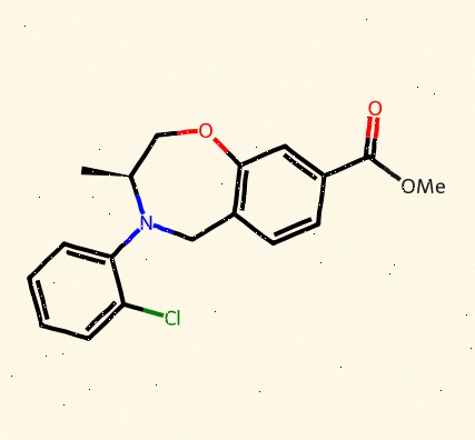 COC(=O)c1ccc2c(c1)OC[C@H](C)N(c1ccccc1Cl)C2